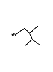 [CH2]C(CCCC)C(C)CC